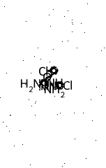 Nc1cc(OCc2ccccc2Cl)c(NNc2ccc(Cl)cc2)c(N)n1